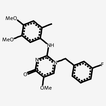 COc1cc(C)c(Nc2nc(=O)c(OC)cn2Cc2cccc(F)c2)cc1OC